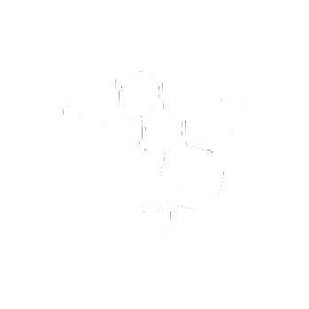 C.CC(C)Oc1nccc2cc3c(nc12)OS(=O)(=O)CCCC3=O